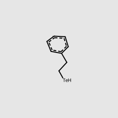 [TeH]CCc1cc[c]cc1